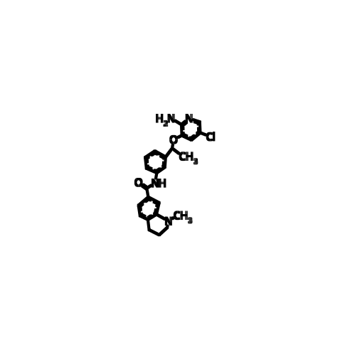 CC(Oc1cc(Cl)cnc1N)c1cccc(NC(=O)c2ccc3c(c2)N(C)CCC3)c1